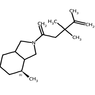 C=C(CC(C)(C)C(=C)C)N1CC2CCC[C@H](C)C2C1